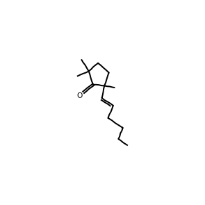 CCCC/C=C/C1(C)CCC(C)(C)C1=O